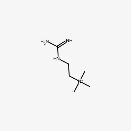 [CH2][N+](C)(C)CCNC(=N)N